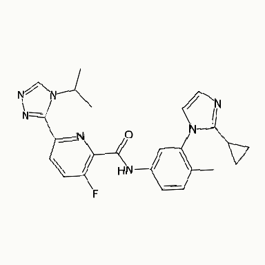 Cc1ccc(NC(=O)c2nc(-c3nncn3C(C)C)ccc2F)cc1-n1ccnc1C1CC1